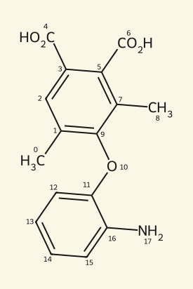 Cc1cc(C(=O)O)c(C(=O)O)c(C)c1Oc1ccccc1N